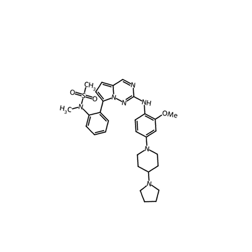 COc1cc(N2CCC(N3CCCC3)CC2)ccc1Nc1ncc2ccc(-c3ccccc3N(C)S(C)(=O)=O)n2n1